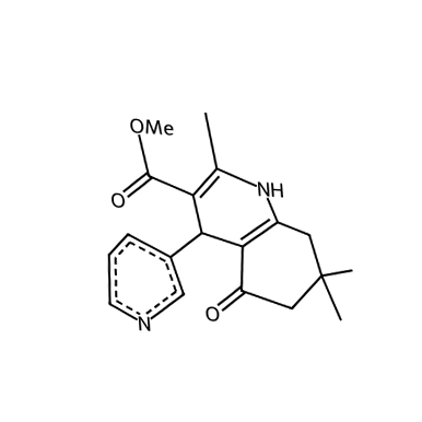 COC(=O)C1=C(C)NC2=C(C(=O)CC(C)(C)C2)C1c1cccnc1